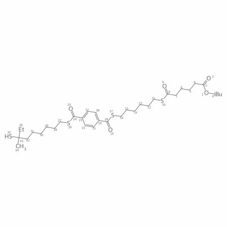 CCC(C)OC(=O)CCCCC(=O)SCCCCCCSC(=O)c1ccc(C(=O)SCCCCCCC(C)(S)CC)cc1